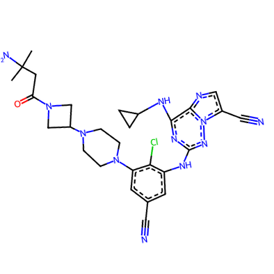 CC(C)(N)CC(=O)N1CC(N2CCN(c3cc(C#N)cc(Nc4nc(NC5CC5)c5ncc(C#N)n5n4)c3Cl)CC2)C1